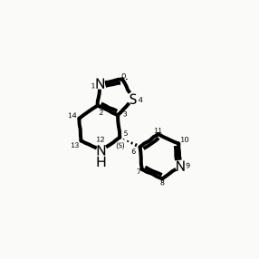 [c]1nc2c(s1)[C@H](c1ccncc1)NCC2